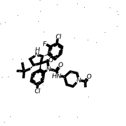 CC(=O)N1CCC(NC(=O)N2C(=O)[C@]3(c4ccc(Cl)cc42)[C@H](CC(C)(C)C)CN[C@@H]3c2cccc(Cl)c2F)CC1